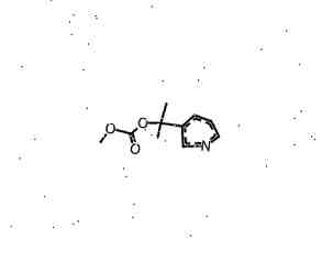 COC(=O)OC(C)(C)c1cccnc1